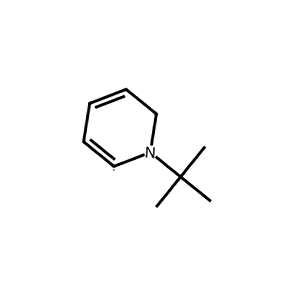 CC(C)(C)N1[C]=CC=CC1